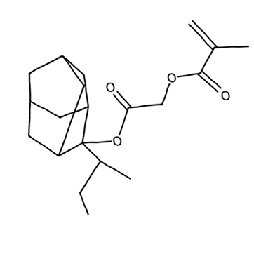 C=C(C)C(=O)OCC(=O)OC1(C(C)CC)C2CC3CC(C2)CC1C3